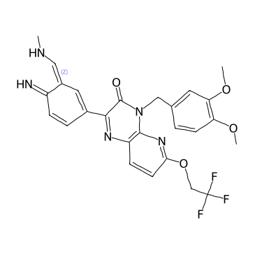 CN/C=C1/C=C(c2nc3ccc(OCC(F)(F)F)nc3n(Cc3ccc(OC)c(OC)c3)c2=O)C=CC1=N